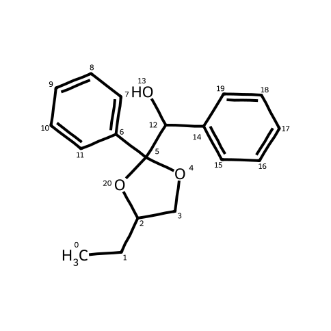 CCC1COC(c2ccccc2)(C(O)c2ccccc2)O1